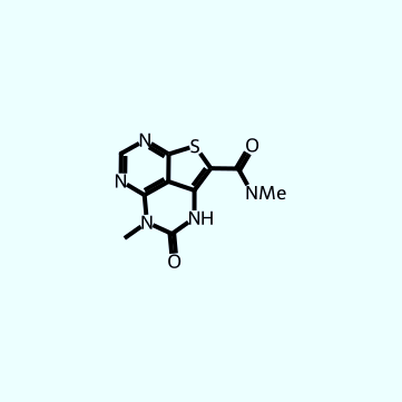 CNC(=O)c1sc2ncnc3c2c1NC(=O)N3C